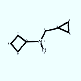 CCN(CC1CC1)C1CCC1